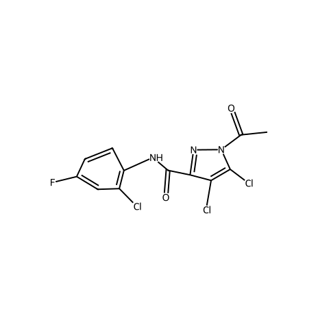 CC(=O)n1nc(C(=O)Nc2ccc(F)cc2Cl)c(Cl)c1Cl